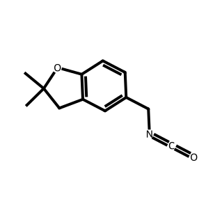 CC1(C)Cc2cc(CN=C=O)ccc2O1